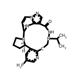 CC(C)N1CCc2ncc(P)cc2[C@H]2CCCN2C2C=Cn3ncc(c3N2)C(=O)N1